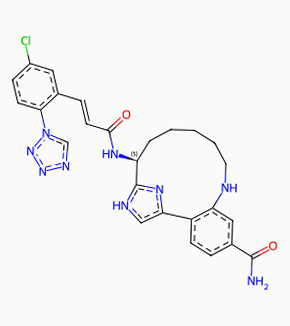 NC(=O)c1ccc2c(c1)NCCCCC[C@H](NC(=O)C=Cc1cc(Cl)ccc1-n1cnnn1)c1nc-2c[nH]1